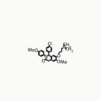 COc1ccc(N2C(=O)Cc3cc(OC)c(OCCCN(C)C)cc3C2c2ccc(Cl)cc2)cc1